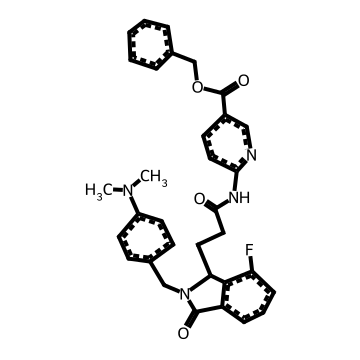 CN(C)c1ccc(CN2C(=O)c3cccc(F)c3C2CCC(=O)Nc2ccc(C(=O)OCc3ccccc3)cn2)cc1